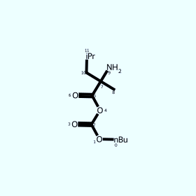 CCCCOC(=O)OC(=O)C(C)(N)CC(C)C